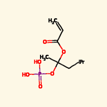 C=CC(=O)OC(C)(CC(C)C)OP(=O)(O)O